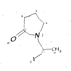 CC(I)N1CCCC1=O